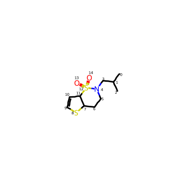 CC(C)CN1CCC2SC=CC2S1(=O)=O